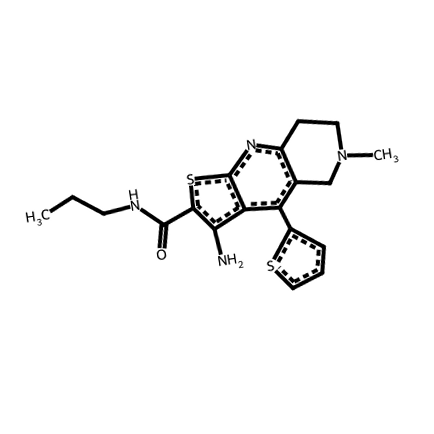 CCCNC(=O)c1sc2nc3c(c(-c4cccs4)c2c1N)CN(C)CC3